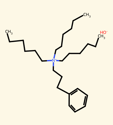 CCCCCC[N+](CCCCCC)(CCCCCC)CCCc1ccccc1.[OH-]